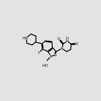 Cl.Cn1nc(N2CCC(=O)NC2=O)c2ccc(C3CCNCC3)c(F)c21